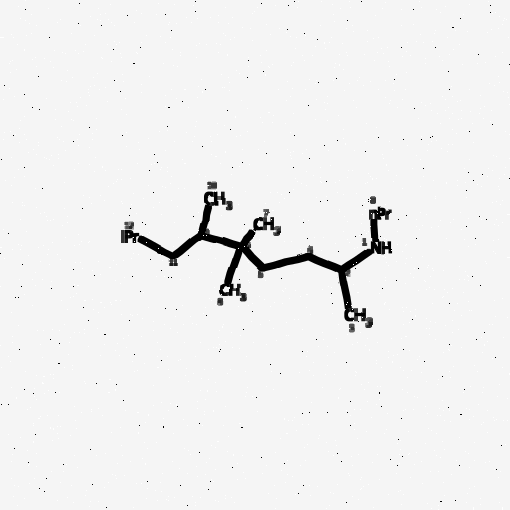 CCCNC(C)CCC(C)(C)C(C)CC(C)C